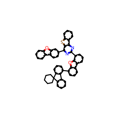 c1ccc2c(c1)-c1c(-c3cccc4c3oc3c(-c5nc(-c6ccc7c(c6)oc6ccccc67)c6sc7ccccc7c6n5)cccc34)cccc1C21CCCCC1